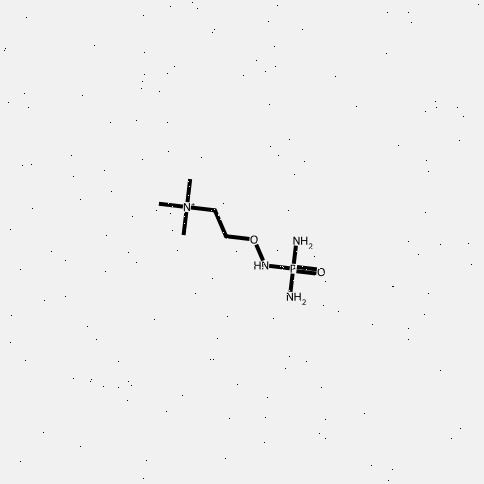 C[N+](C)(C)CCONP(N)(N)=O